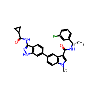 CCn1cc(C(=O)N[C@@H](C)c2cccc(F)c2)c2cc(-c3ccc4c(NC(=O)C5CC5)n[nH]c4c3)ccc21